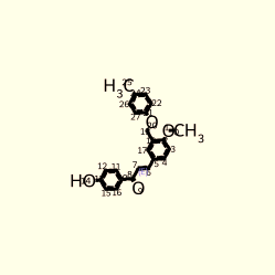 COc1ccc(/C=C/C(=O)c2ccc(O)cc2)cc1COc1ccc(C)cc1